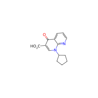 O=C(O)c1cn(C2CCCC2)c2ncccc2c1=O